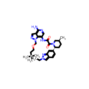 CCn1cc2ccc([C@H]3CC[C@H](C)CN3C(=O)C(=O)Nc3cnc(N)c4cnn(COCC[Si](C)(C)C)c34)cc2n1